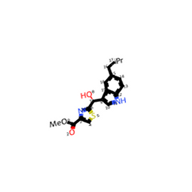 COC(=O)c1csc([C@H](O)c2c[nH]c3ccc(CC(C)C)cc23)n1